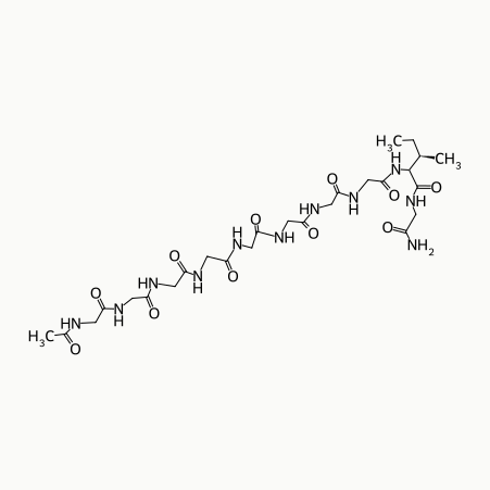 CC[C@@H](C)C(NC(=O)CNC(=O)CNC(=O)CNC(=O)CNC(=O)CNC(=O)CNC(=O)CNC(=O)CNC(C)=O)C(=O)NCC(N)=O